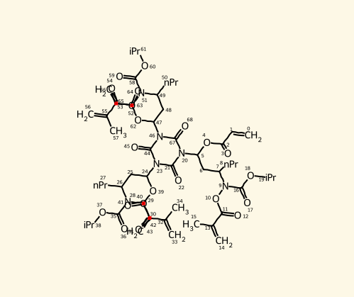 C=CC(=O)OC(CC(CCC)N(OC(=O)C(=C)C)C(=O)OC(C)C)n1c(=O)n(C(CC(CCC)N(OC(=O)C(=C)C)C(=O)OC(C)C)OC(=O)C=C)c(=O)n(C(CC(CCC)N(OC(=O)C(=C)C)C(=O)OC(C)C)OC(=O)C=C)c1=O